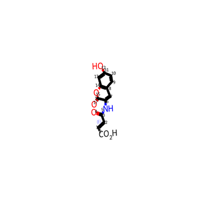 O=C(O)/C=C/C(=O)Nc1cc2ccc(O)cc2oc1=O